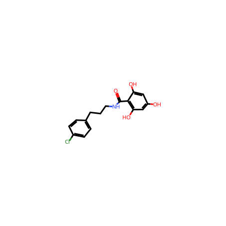 O=C(NCCCc1ccc(Cl)cc1)c1c(O)cc(O)cc1O